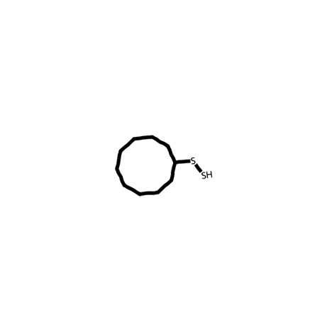 SSC1CCCCCCCCC1